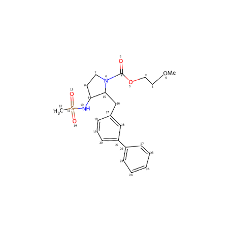 COCCOC(=O)N1CCC(NS(C)(=O)=O)C1Cc1cccc(-c2ccccc2)c1